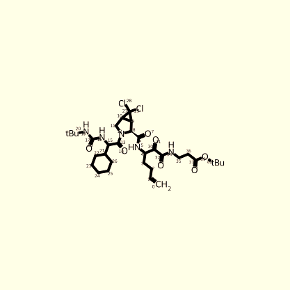 C=CCCC(NC(=O)[C@@H]1C2C(CN1C(=O)C(NC(=O)NC(C)(C)C)C1CCCCC1)C2(Cl)Cl)C(=O)C(=O)NCCC(=O)OC(C)(C)C